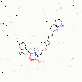 CCC(CC)(C(=O)N[C@@H](CCO[C@H]1C[C@H](CCc2ccc3c(n2)NCCC3)C1)C(=O)O)c1ccccc1